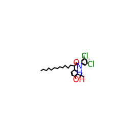 CCCCCCCCCCCCC(C(=O)Nc1cc(Cl)[c]c(Cl)c1)c1ccc(O)c(C(C)(C)C)c1